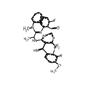 COc1ccc(C(=N)c2c(N)ncnc2NC(C)/C(=N/c2cccc(F)c2C=O)N(C)c2ccccc2)c(F)c1F